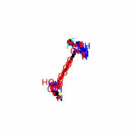 Cc1ncsc1-c1ccc(CNC(=O)C2C[C@@H](O)CN2C(=O)[C@@H](NC(=O)COCCOCCOCCOCCOCCOCCCCCC(=O)N(C)CCCn2c(CNc3cccc(C(=O)NCc4c(F)cccc4F)c3)nnc2-c2ccncn2)C(C)(C)C)cc1